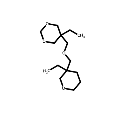 CCC1(COCC2(CC)COCOC2)CCCOC1